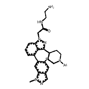 CC(=O)N1CCC(c2nn(CC(=O)NCCN)c3cccc(-c4cc5c(cnn5C)cc4F)c23)CC1